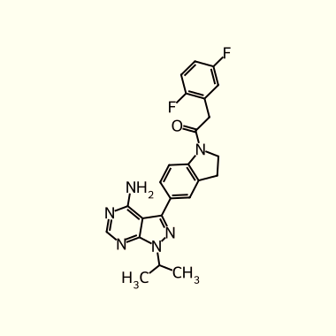 CC(C)n1nc(-c2ccc3c(c2)CCN3C(=O)Cc2cc(F)ccc2F)c2c(N)ncnc21